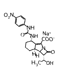 CC(O)[C@H]1C(=O)N2C(C(=O)[O-])=C3[C@@H](NC(=O)Nc4ccc([N+](=O)[O-])cc4)CCC[C@@H]3[C@H]12.[Na+]